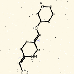 N/C=C1/CC/C(=C\OC2CCCOC2)CN1